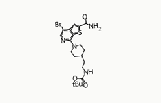 CC(C)(C)OC(=O)NCCC1CCN(c2ncc(Br)c3cc(C(N)=O)sc23)CC1